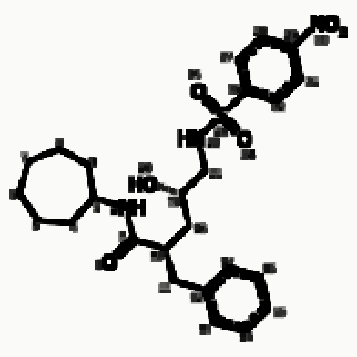 O=C(NC1CCCCCC1)[C@H](Cc1ccccc1)C[C@H](O)CNS(=O)(=O)c1ccc([N+](=O)[O-])cc1